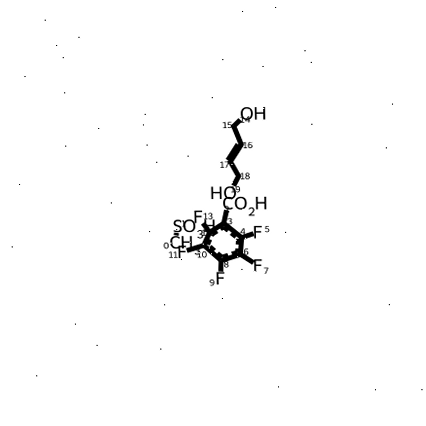 CS(=O)(=O)O.O=C(O)c1c(F)c(F)c(F)c(F)c1F.OCC=CCO